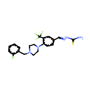 NC(=S)N/N=C/c1ccc(N2CCN(Cc3ccccc3F)CC2)c(C(F)(F)F)c1